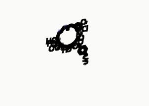 COc1cc2cc(c1Cl)N(C)C(=O)C[C@H](OC(=O)C1CCC(CSSC)CC1)[C@]1(C)O[C@H]1[C@H](C)[C@@H]1C[C@](O)(C/C=C/C=C(\C)C2)NC(=O)O1